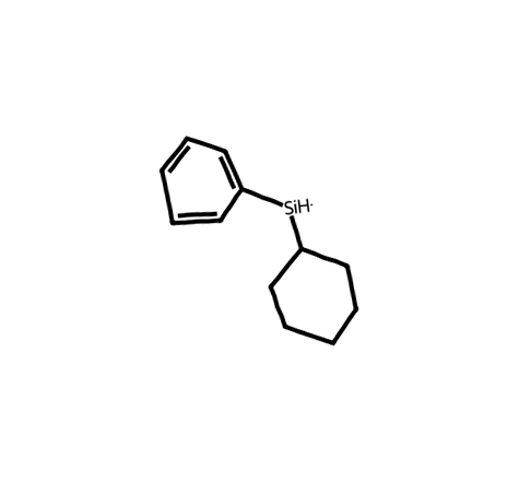 c1ccc([SiH]C2CCCCC2)cc1